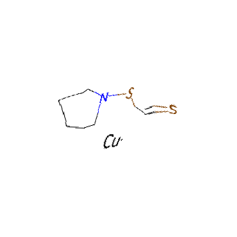 S=CSN1CCCC1.[Cu]